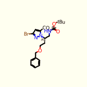 CCOC(=O)c1cc(Br)nn1[C@H](CCOCc1ccccc1)CNC(=O)OC(C)(C)C